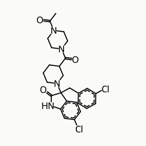 CC(=O)N1CCN(C(=O)C2CCCN(C3(Cc4cccc(Cl)c4)C(=O)Nc4cc(Cl)ccc43)C2)CC1